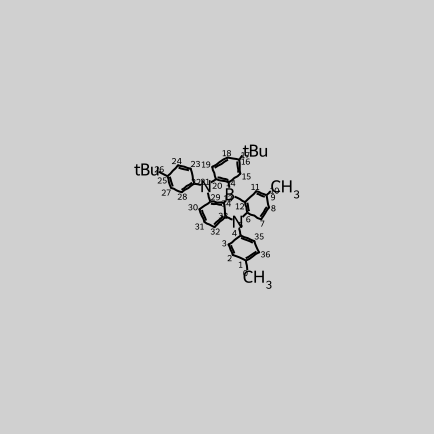 Cc1ccc(N2c3ccc(C)cc3B3c4cc(C(C)(C)C)ccc4N(c4ccc(C(C)(C)C)cc4)c4cccc2c43)cc1